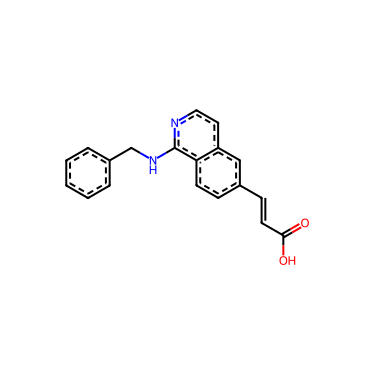 O=C(O)C=Cc1ccc2c(NCc3ccccc3)nccc2c1